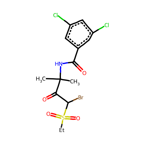 CCS(=O)(=O)C(Br)C(=O)C(C)(C)NC(=O)c1cc(Cl)cc(Cl)c1